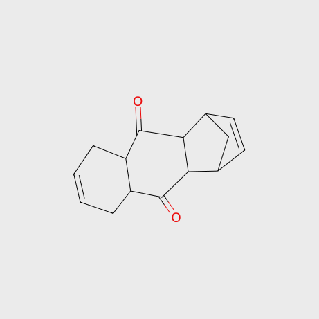 O=C1C2CC=CCC2C(=O)C2C3C=CC(C3)C12